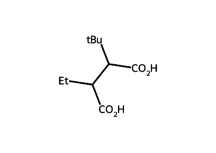 CCC(C(=O)O)C(C(=O)O)C(C)(C)C